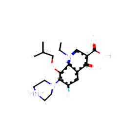 CCn1cc(C(=O)O)c(=O)c2cc(F)c(N3CCNCC3)c(OCC(C)C)c21